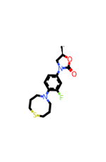 [CH2][C@@H]1CN(c2ccc(N3CCCSCCC3)c(F)c2)C(=O)O1